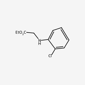 CCOC(=O)CNc1ccccc1Cl